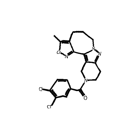 Cc1onc2c1CCCn1nc3c(c1-2)CN(C(=O)c1ccc(Cl)c(Cl)c1)CC3